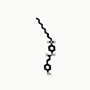 CCCCCCC/C=C/CS(=O)(=O)c1ccc(NC(=O)/C=C/c2ccc(O)cc2)cc1